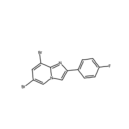 Fc1ccc(-c2cn3cc(Br)cc(Br)c3n2)cc1